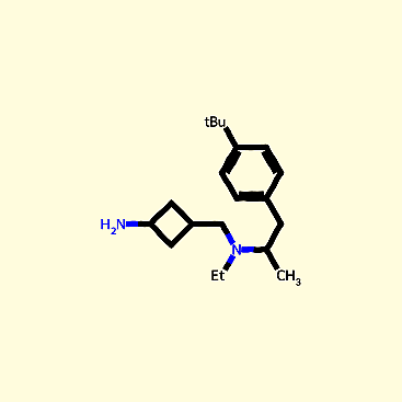 CCN(CC1CC(N)C1)C(C)Cc1ccc(C(C)(C)C)cc1